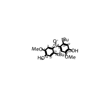 COc1cc([S+]([O-])c2cc(OC)c(O)cc2C(C)(C)C)c(C(C)(C)C)cc1O